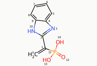 C=C(c1nc2ccccc2[nH]1)P(=O)(O)O